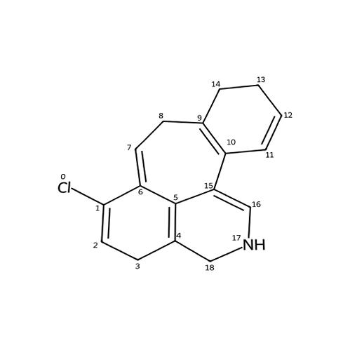 ClC1=CCC2=C3C1=CCC1=C(C=CCC1)C3=CNC2